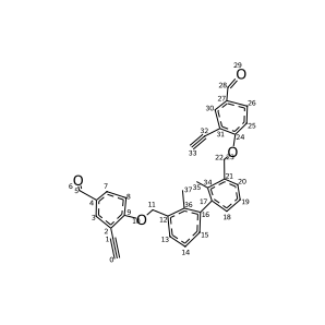 C#Cc1cc(C=O)ccc1OCc1cccc(-c2cccc(COc3ccc(C=O)cc3C#C)c2C)c1C